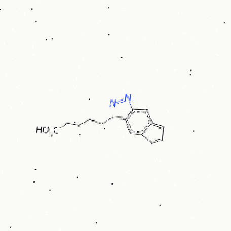 O=C(O)CCCCC1=c2cc3c(cc2N=N1)=CC=C3